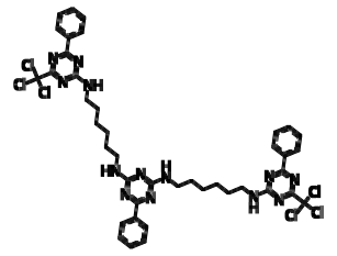 ClC(Cl)(Cl)c1nc(NCCCCCCNc2nc(NCCCCCCNc3nc(-c4ccccc4)nc(C(Cl)(Cl)Cl)n3)nc(-c3ccccc3)n2)nc(-c2ccccc2)n1